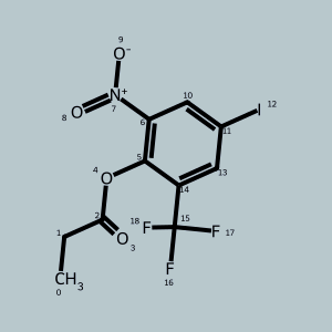 CCC(=O)Oc1c([N+](=O)[O-])cc(I)cc1C(F)(F)F